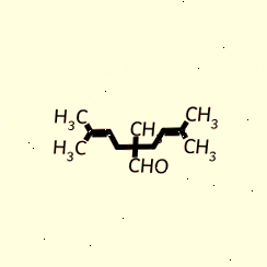 CC(C)=CCC(C)(C=O)CC=C(C)C